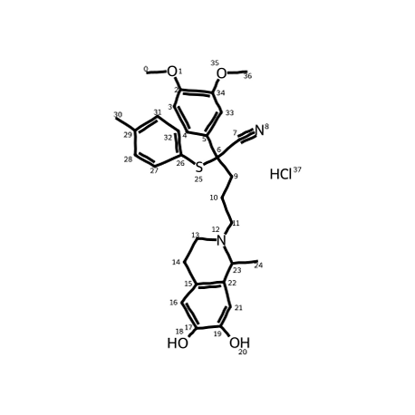 COc1ccc(C(C#N)(CCCN2CCc3cc(O)c(O)cc3C2C)Sc2ccc(C)cc2)cc1OC.Cl